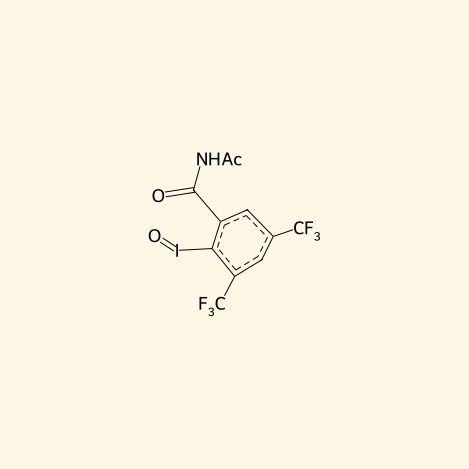 CC(=O)NC(=O)c1cc(C(F)(F)F)cc(C(F)(F)F)c1I=O